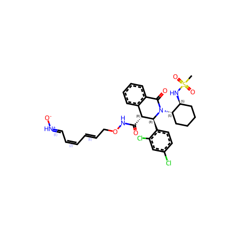 CS(=O)(=O)N[C@H]1CCCC[C@@H]1N1C(=O)c2ccccc2[C@@H](C(=O)NOC/C=C/C=C\C=[NH+]\[O-])[C@@H]1c1ccc(Cl)cc1Cl